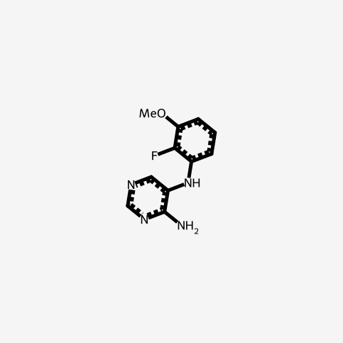 COc1cccc(Nc2cncnc2N)c1F